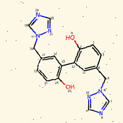 Oc1ccc(Cn2cncn2)cc1-c1cc(Cn2cncn2)ccc1O